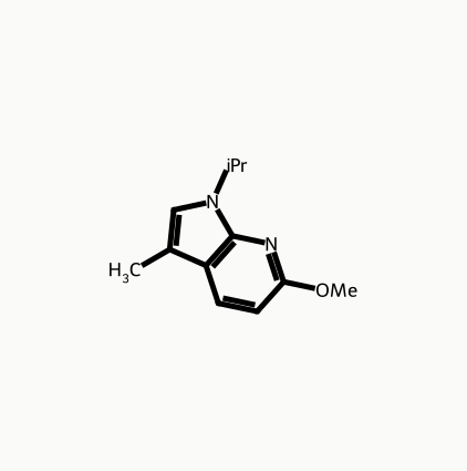 COc1ccc2c(C)cn(C(C)C)c2n1